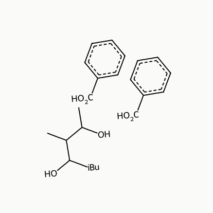 CCC(C)C(O)C(C)C(C)O.O=C(O)c1ccccc1.O=C(O)c1ccccc1